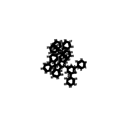 c1ccc(-c2cc(-n3c4c(c5cc(N(c6ccccc6)c6ccccc6)ccc53)C3(c5ccccc5-c5ccc(N(c6ccccc6)c6ccccc6)cc53)c3ccccc3-4)cc(-c3ccccc3)n2)cc1